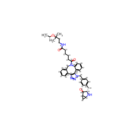 CCOC(C)(C)CCNC(=O)CCCCC(=O)N1Cc2ccccc2-c2nnn(Cc3ccc(C[C@@H]4NC5CC5C4=O)cc3)c2-c2ccccc21